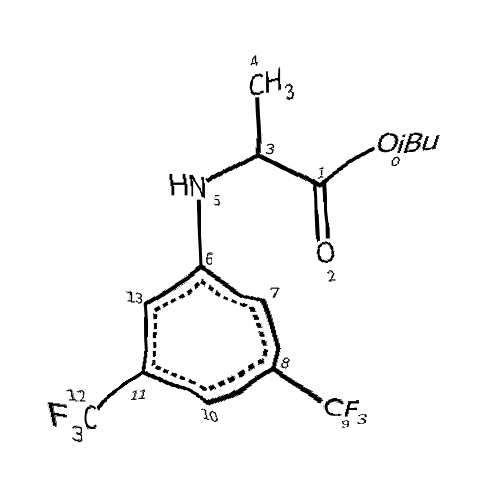 CC(C)COC(=O)C(C)Nc1cc(C(F)(F)F)cc(C(F)(F)F)c1